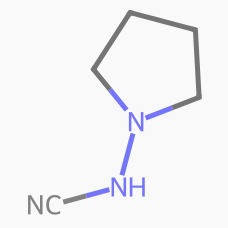 N#CNN1CCCC1